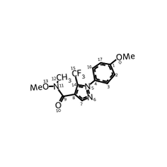 COc1ccc(-n2ncc(C(=O)N(C)OC)c2C(F)(F)F)cc1